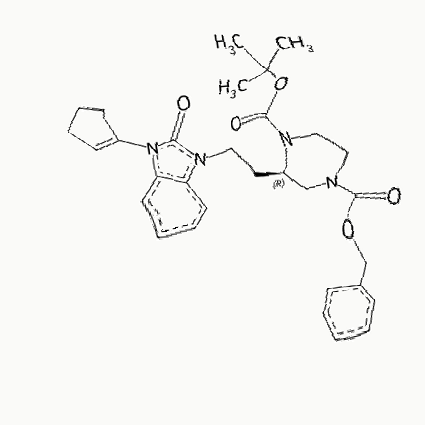 CC(C)(C)OC(=O)N1CCN(C(=O)OCc2ccccc2)C[C@H]1CCn1c(=O)n(C2=CCCC2)c2ccccc21